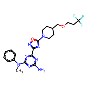 CN(c1ccccc1)c1nc(N)nc(-c2noc(N3CCC(COCCC(F)(F)F)CC3)n2)n1